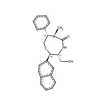 C[C@H]1C(=O)N[C@H](CO)[C@@H](c2ccc3ccccc3c2)CC[C@@H]1c1ccccc1